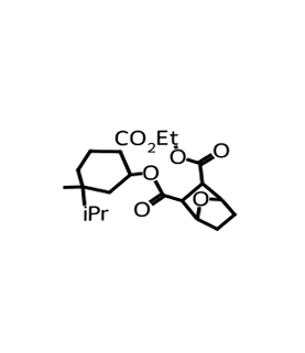 CCOC(=O)OC(=O)C1C2CCC(O2)C1C(=O)OC1CCCC(C)(C(C)C)C1